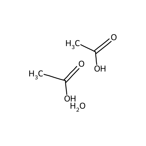 CC(=O)O.CC(=O)O.O